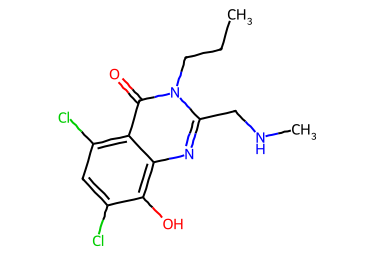 CCCn1c(CNC)nc2c(O)c(Cl)cc(Cl)c2c1=O